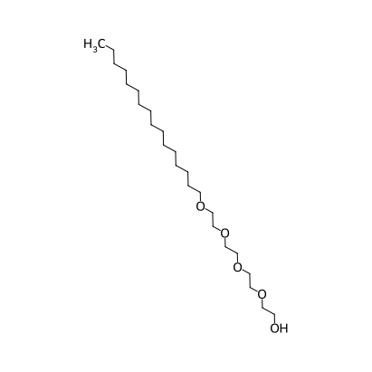 CCCCCCCCCCCCCCCCOCCOCCOCCOCCO